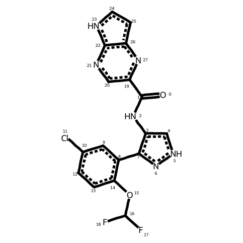 O=C(Nc1c[nH]nc1-c1cc(Cl)ccc1OC(F)F)c1cnc2[nH]ccc2n1